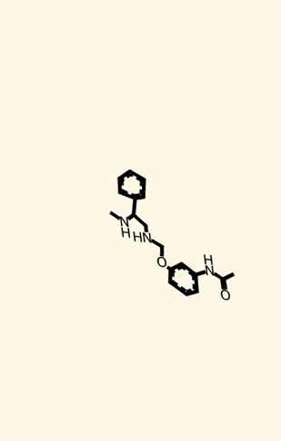 CNC(CNCOc1cccc(NC(C)=O)c1)c1ccccc1